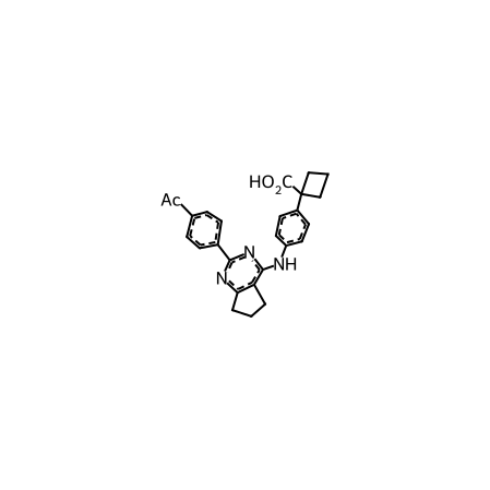 CC(=O)c1ccc(-c2nc3c(c(Nc4ccc(C5(C(=O)O)CCC5)cc4)n2)CCC3)cc1